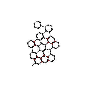 Cc1cc(C)c(B2c3ccccc3N(c3ccccc3)c3c2c(-c2c(-c4ccccc4)cccc2-c2ccccc2)c2ccc4ccc(-c5c(-c6ccccc6)cccc5-c5ccccc5)c5ccc3c2c45)c(C)c1